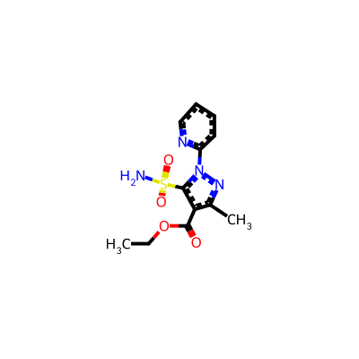 CCOC(=O)c1c(C)nn(-c2ccccn2)c1S(N)(=O)=O